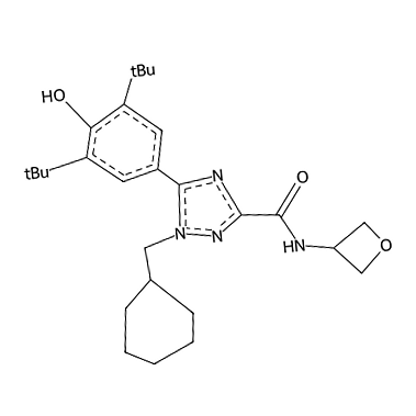 CC(C)(C)c1cc(-c2nc(C(=O)NC3COC3)nn2CC2CCCCC2)cc(C(C)(C)C)c1O